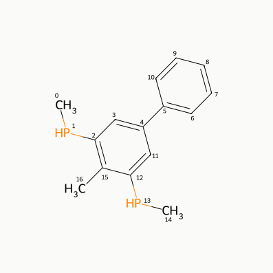 CPc1cc(-c2ccccc2)cc(PC)c1C